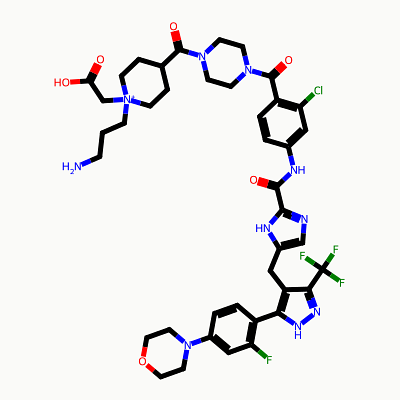 NCCC[N+]1(CC(=O)O)CCC(C(=O)N2CCN(C(=O)c3ccc(NC(=O)c4ncc(Cc5c(C(F)(F)F)n[nH]c5-c5ccc(N6CCOCC6)cc5F)[nH]4)cc3Cl)CC2)CC1